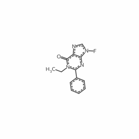 CCn1c(-c2ccccc2)nc2c(ncn2F)c1=O